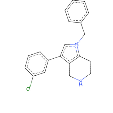 Clc1cccc(-c2cn(Cc3ccccc3)c3c2CNCC3)c1